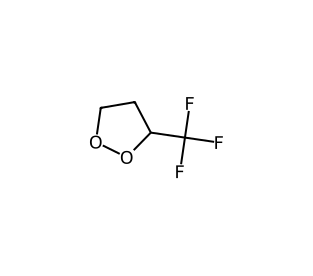 FC(F)(F)C1CCOO1